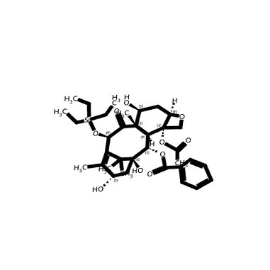 CC[Si](CC)(CC)O[C@H]1C(=O)[C@@]2(C)[C@H]([C@H](OC(=O)c3ccccc3)[C@]3(O)C[C@H](O)C(C)=C1C3(C)C)[C@]1(OC(C)=O)CO[C@@H]1C[C@@H]2O